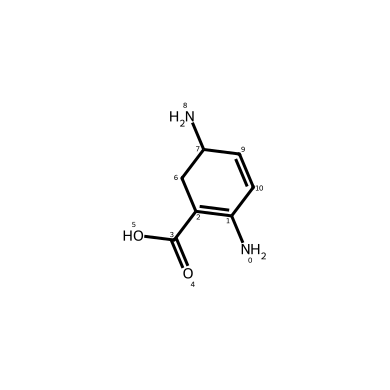 NC1=C(C(=O)O)CC(N)C=C1